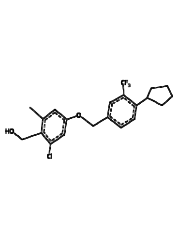 Cc1cc(OCc2ccc(C3CCCC3)c(C(F)(F)F)c2)cc(Cl)c1CO